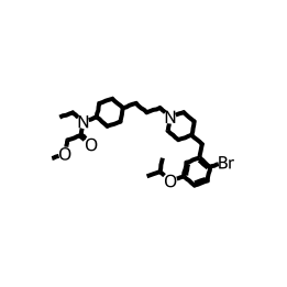 CCN(C(=O)COC)C1CCC(CCCN2CCC(Cc3cc(OC(C)C)ccc3Br)CC2)CC1